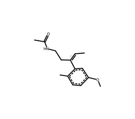 C/C=C(/CCNC(C)=O)c1cc(OC)ccc1C